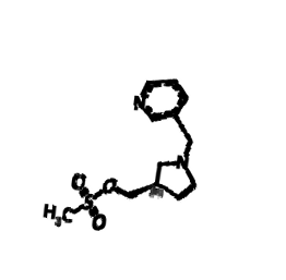 CS(=O)(=O)OC[C@@H]1CCN(Cc2cccnc2)C1